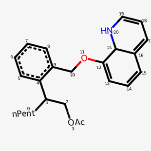 CCCCCC(COC(C)=O)c1ccccc1COC1=CC=CC2=CC=CNC21